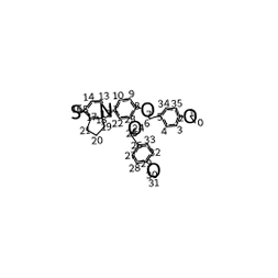 COc1ccc(COc2ccc(-n3ccc(=S)c4c3CCC4)cc2OCc2ccc(OC)cc2)cc1